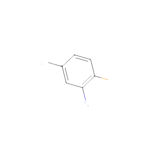 CCc1ccc(P)c(N)c1